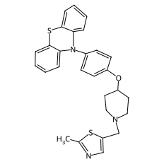 Cc1ncc(CN2CCC(Oc3ccc(N4c5ccccc5Sc5ccccc54)cc3)CC2)s1